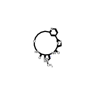 CN/C=C1/NC(=O)c2csc(n2)-c2ccnc(c2)CCCCOCCNC(=O)C1=N